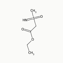 CCOC(=O)CS(C)(=N)=O